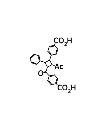 CC(=O)C1C(C(=O)c2ccc(C(=O)O)cc2)C(c2ccccc2)C1c1ccc(C(=O)O)cc1